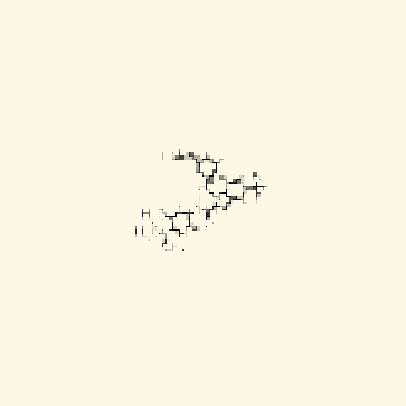 Cc1cc(NC(=O)c2cc3cc(C(F)(F)F)cnc3n2Cc2cccc(F)c2)cnc1N(C)C.Cl